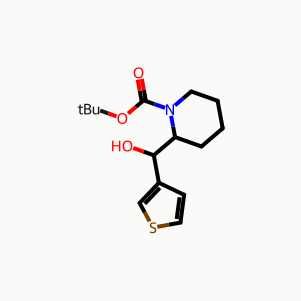 CC(C)(C)OC(=O)N1CCCCC1C(O)c1ccsc1